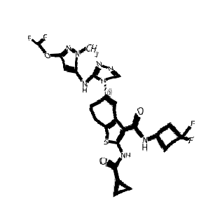 Cn1nc(OC(F)F)cc1Nc1nncn1[C@H]1CCc2sc(NC(=O)C3CC3)c(C(=O)NC3CC(F)(F)C3)c2C1